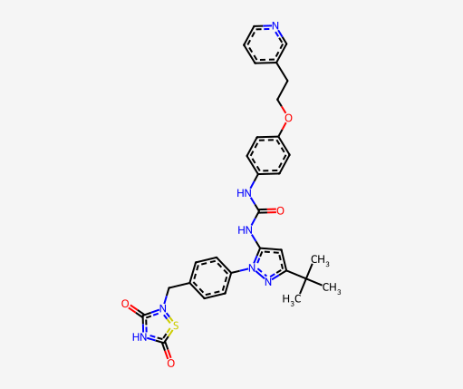 CC(C)(C)c1cc(NC(=O)Nc2ccc(OCCc3cccnc3)cc2)n(-c2ccc(Cn3sc(=O)[nH]c3=O)cc2)n1